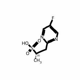 C[C@@H](Cc1ncc(F)cn1)S(=O)(=O)O